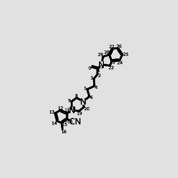 C=C(CCCCCN1CCN(c2cccc(C)c2C#N)CC1)N1Cc2ccccc2C1